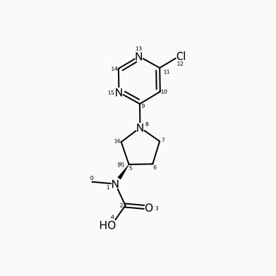 CN(C(=O)O)[C@@H]1CCN(c2cc(Cl)ncn2)C1